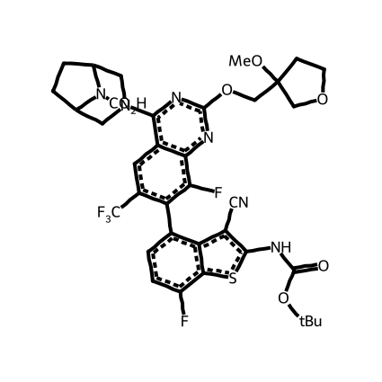 COC1(COc2nc(N3CC4CCC(C3)N4C(=O)O)c3cc(C(F)(F)F)c(-c4ccc(F)c5sc(NC(=O)OC(C)(C)C)c(C#N)c45)c(F)c3n2)CCOC1